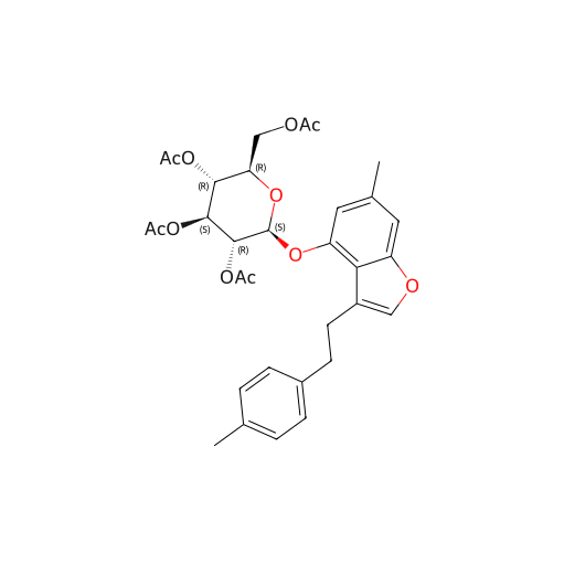 CC(=O)OC[C@H]1O[C@@H](Oc2cc(C)cc3occ(CCc4ccc(C)cc4)c23)[C@H](OC(C)=O)[C@@H](OC(C)=O)[C@@H]1OC(C)=O